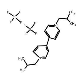 CC(C)C[n+]1ccc(-c2cc[n+](CC(C)C)cc2)cc1.F[B-](F)(F)F.F[B-](F)(F)F